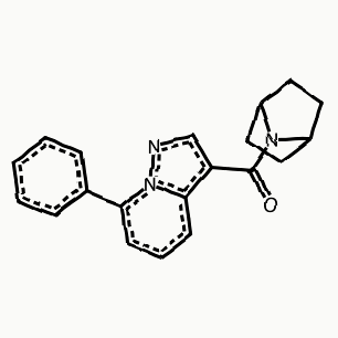 O=C(c1cnn2c(-c3ccccc3)cccc12)N1C2CCC1CC2